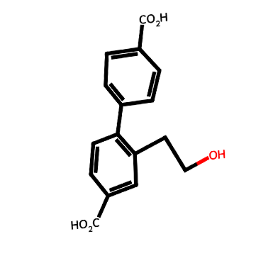 O=C(O)c1ccc(-c2ccc(C(=O)O)cc2CCO)cc1